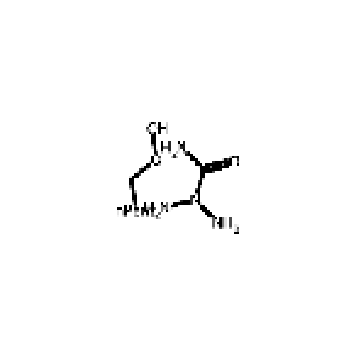 CCCCCCOO.NC(=O)N(N)N